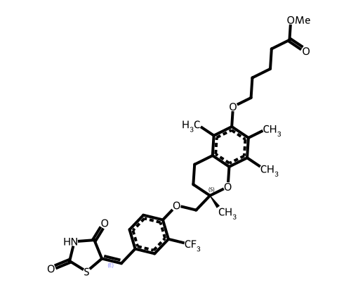 COC(=O)CCCCOc1c(C)c(C)c2c(c1C)CC[C@@](C)(COc1ccc(/C=C3/SC(=O)NC3=O)cc1C(F)(F)F)O2